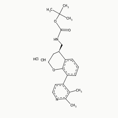 Cc1nccc(-c2cccc3c2OCC[C@H]3CNC(=O)OC(C)(C)C)c1C.Cl.Cl